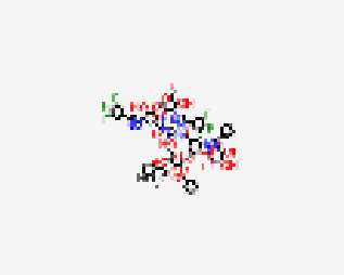 CC1O[C@@H](OC2C(n3cc(-c4ccccc4)nn3)CC(C(=O)NCCNC(=O)C3CC(n4cc(-c5cc(F)c(F)c(F)c5)nn4)C(O)[C@H](O[C@@H]4OC(CO)[C@H](O)C(n5cc(-c6cc(F)c(F)c(F)c6)nn5)C4O)C3)C[C@H]2O[C@@H]2OC(CO)[C@H](O)C(O[C@@H](CC3CCCCC3)C(=O)O)C2OC(=O)c2ccccc2)C(O)C(O)[C@@H]1O